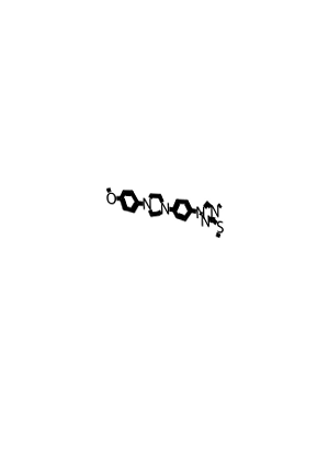 COc1ccc(N2CCN(c3ccc(N4CN(C)C(SC)=N4)cc3)CC2)cc1